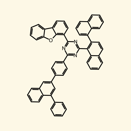 c1ccc(-c2cc(-c3ccc(-c4nc(-c5c(-c6cccc7ccccc67)ccc6ccccc56)nc(-c5cccc6c5oc5ccccc56)n4)cc3)cc3ccccc23)cc1